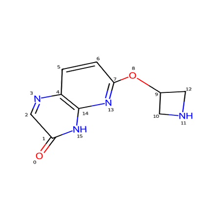 O=c1cnc2ccc(OC3CNC3)nc2[nH]1